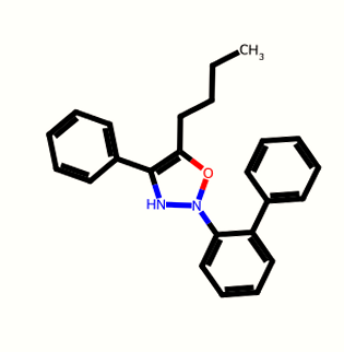 CCCCC1=C(c2ccccc2)NN(c2ccccc2-c2ccccc2)O1